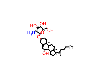 CC(C)CCC[C@@H](C)[C@H]1CCC2C3C(CC[C@@]21C)[C@@]1(C)CCC(O[C@H]2O[C@H](CO)[C@@H](O)[C@H](O)[C@H]2N)CC1=C[C@H]3O